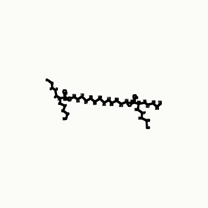 CCCCCC(CCCCC)C(=O)OCCCCCCCCCCCCCOC(=O)C(CCCCC)CCCCC